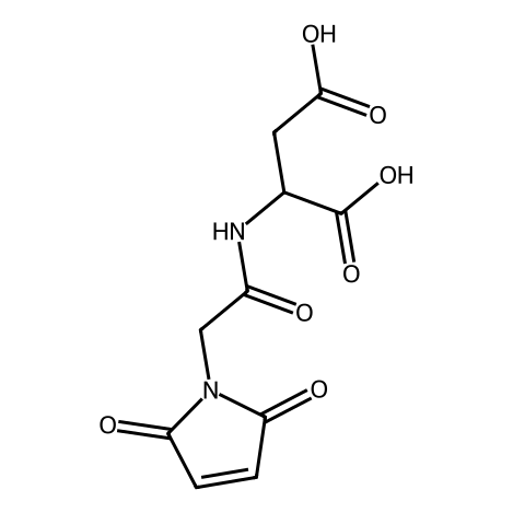 O=C(O)CC(NC(=O)CN1C(=O)C=CC1=O)C(=O)O